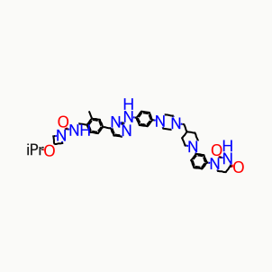 Cc1cc(-c2ccnc(Nc3ccc(N4CCN(CC5CCN(c6cccc(N7CCC(=O)NC7=O)c6)CC5)CC4)cc3)n2)ccc1CNC(=O)N1CC(OC(C)C)C1